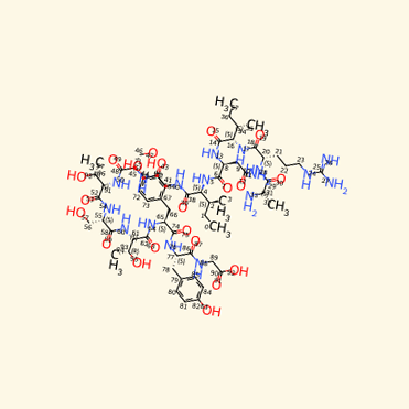 CC[C@H](C)[C@H](NC(=O)[C@H](CC(N)=O)NC(=O)[C@@H](NC(=O)[C@H](CCCNC(=N)N)NC(=O)[C@H](C)N)[C@@H](C)CC)C(=O)NCC(=O)N[C@@H](CO)C(=O)N[C@H](C(=O)N[C@@H](CO)C(=O)N[C@H](C(=O)N[C@@H](Cc1ccc(O)cc1)C(=O)N[C@@H](Cc1ccc(O)cc1)C(=O)NCC(=O)O)[C@@H](C)O)[C@@H](C)O